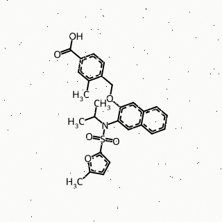 Cc1ccc(S(=O)(=O)N(c2cc3ccccc3cc2OCc2ccc(C(=O)O)cc2C)C(C)C)o1